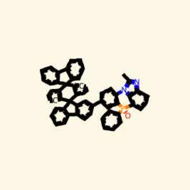 Cc1nc2cccc3c2n1-c1ccc(-c2ccc4c(c2)C2(c5ccccc5-4)c4ccccc4C4(c5ccccc5-c5ccccc54)c4ccccc42)cc1P3(=O)c1ccccc1